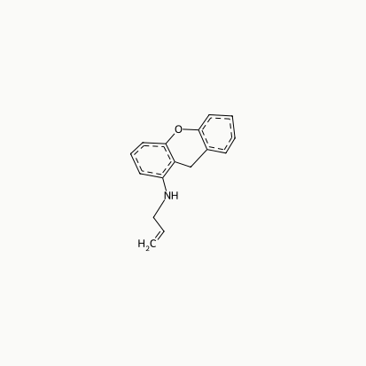 C=CCNc1cccc2c1Cc1ccccc1O2